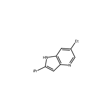 CCc1cnc2cc(C(C)C)[nH]c2c1